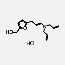 C=CCN(C=CCc1ccc(CO)o1)CC=C.Cl